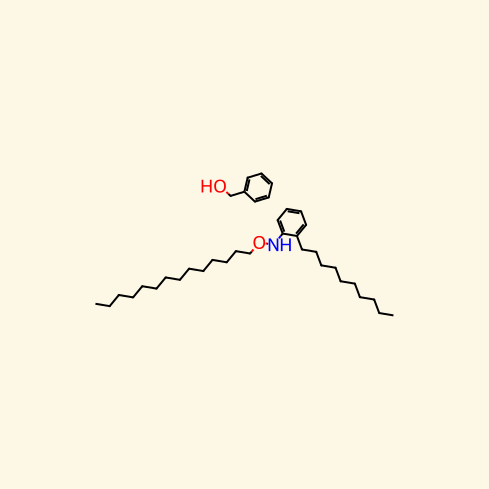 CCCCCCCCCCCCCCONc1ccccc1CCCCCCCCCC.OCc1ccccc1